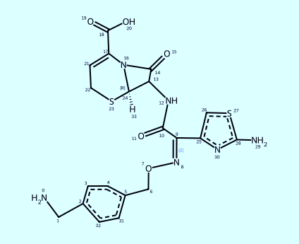 NCc1ccc(CO/N=C(\C(=O)NC2C(=O)N3C(C(=O)O)=CCS[C@H]23)c2csc(N)n2)cc1